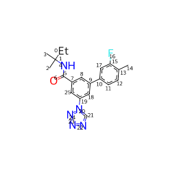 CCC(C)(C)NC(=O)c1cc(-c2ccc(C)c(F)c2)cc(-n2cnnn2)c1